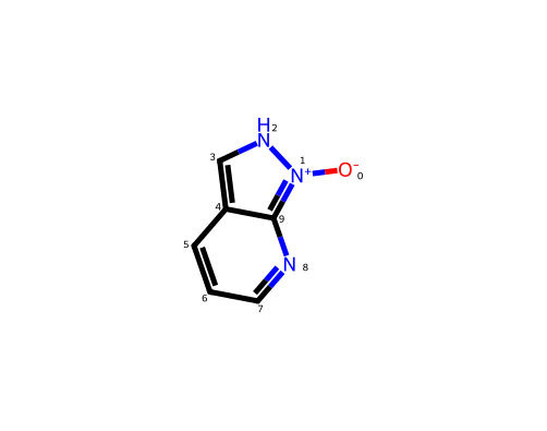 [O-][n+]1[nH]cc2cccnc21